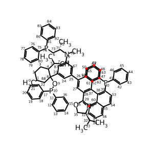 CC1CCC(C(C)C)C(OP(c2ccccc2)c2ccccc2)(c2cc(-c3cc(C4=N[C@@H](C(C)C)CO4)c(-c4c(P(c5ccccc5)c5ccccc5)ccc5ccccc45)c4ccccc34)cc(N(C)[C@@H](C)CP(c3ccccc3)c3ccccc3)c2)C1